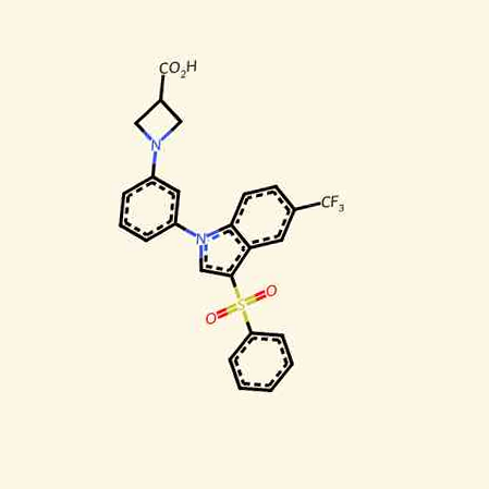 O=C(O)C1CN(c2cccc(-n3cc(S(=O)(=O)c4ccccc4)c4cc(C(F)(F)F)ccc43)c2)C1